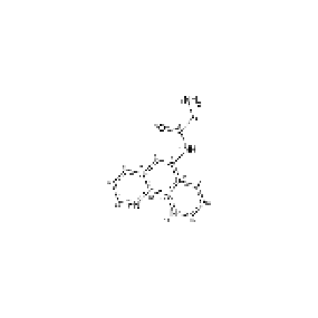 NCC(=O)Nc1cc2cccnc2c2ncccc12